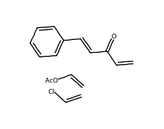 C=CC(=O)C=Cc1ccccc1.C=CCl.C=COC(C)=O